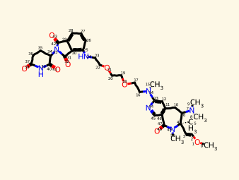 CO/C=C/[C@]1(C)C(N(C)C)Cc2cc(N(C)CCOCCOCCNc3cccc4c3C(=O)N(C3CCC(=O)NC3=O)C4=O)ncc2C(=O)N1C